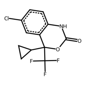 O=C1Nc2ccc(Cl)cc2C(C2CC2)(C(F)(F)F)O1